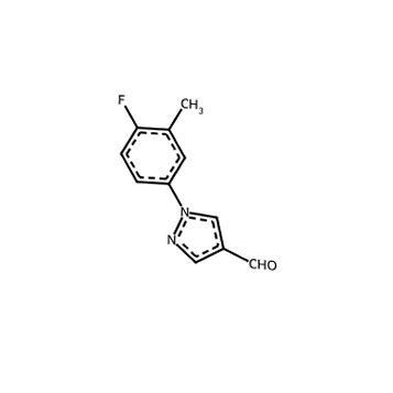 Cc1cc(-n2cc(C=O)cn2)ccc1F